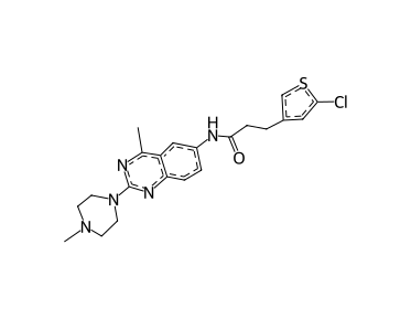 Cc1nc(N2CCN(C)CC2)nc2ccc(NC(=O)CCc3csc(Cl)c3)cc12